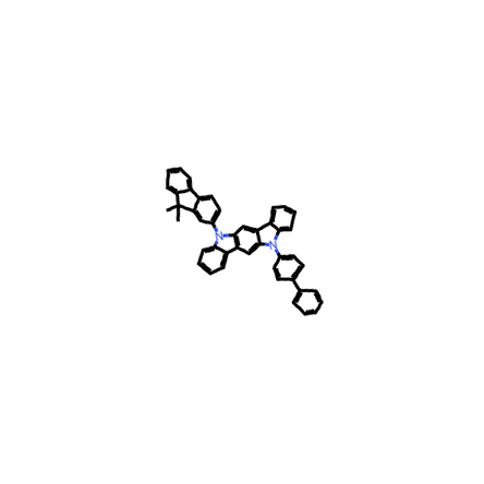 CC1(C)c2ccccc2-c2ccc(-n3c4ccccc4c4cc5c(cc43)c3ccccc3n5-c3ccc(-c4ccccc4)cc3)cc21